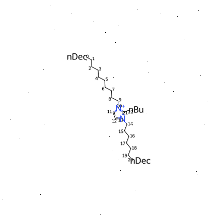 CCCCCCCCCCCCCCCCCCC[n+]1ccn(CCCCCCCCCCCCCCCC)c1CCCC